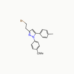 COc1ccc(-n2nc(CCBr)cc2-c2ccc(C)cc2)cc1